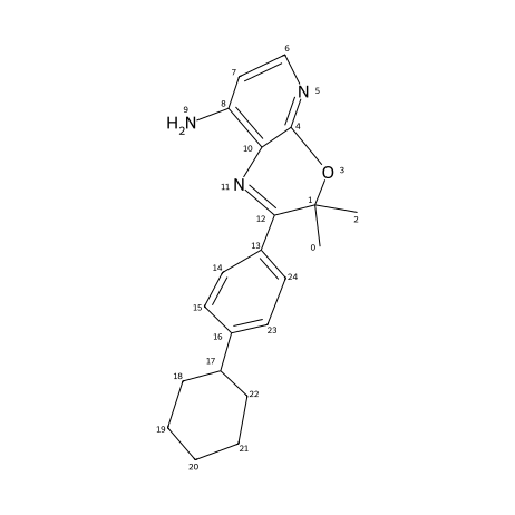 CC1(C)Oc2nccc(N)c2N=C1c1ccc(C2CCCCC2)cc1